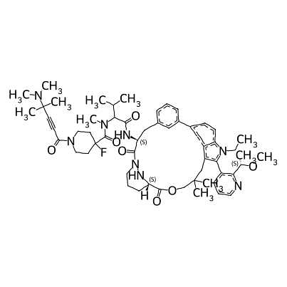 CCn1c(-c2cccnc2[C@H](C)OC)c2c3cc(ccc31)-c1cccc(c1)C[C@H](NC(=O)C(C(C)C)N(C)C(=O)C1(F)CCN(C(=O)C#CC(C)(C)N(C)C)CC1)C(=O)N1CCC[C@H](N1)C(=O)OCC(C)(C)C2